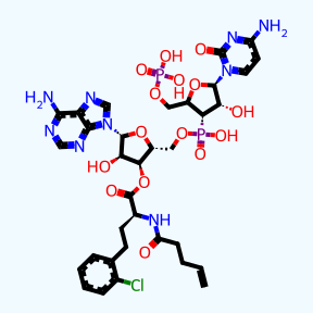 C=CCCC(=O)N[C@@H](CCc1ccccc1Cl)C(=O)O[C@H]1[C@@H](O)[C@H](n2cnc3c(N)ncnc32)O[C@@H]1COP(=O)(O)[C@@H]1C(COP(=O)(O)O)O[C@@H](n2ccc(N)nc2=O)[C@@H]1O